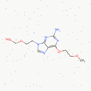 COCCOc1nc(N)nc2c1ncn2CCOCO